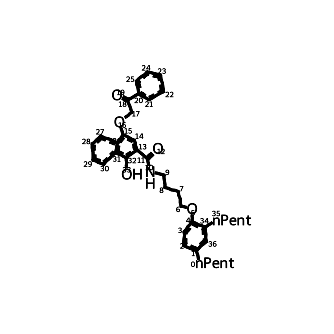 CCCCCc1ccc(OCCCCNC(=O)c2cc(OCC(=O)c3ccccc3)c3ccccc3c2O)c(CCCCC)c1